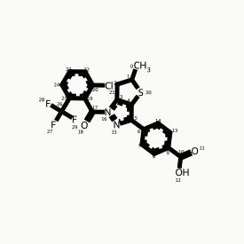 CC1Cc2c(c(-c3ccc(C(=O)O)cc3)nn2C(=O)c2c(Cl)cccc2C(F)(F)F)S1